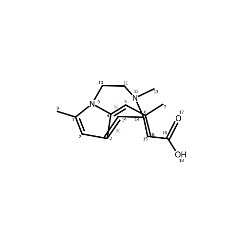 Cc1cc2/c(=C\C(C)C)n1CCN(C)C(CC(=O)O)/C=2